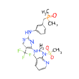 CN(c1ncccc1CNc1nc(Nc2cccc(CP(C)(C)=O)c2)ncc1C(F)(F)F)S(C)(=O)=O